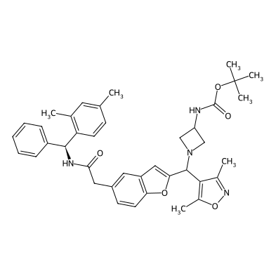 Cc1ccc([C@@H](NC(=O)Cc2ccc3oc(C(c4c(C)noc4C)N4CC(NC(=O)OC(C)(C)C)C4)cc3c2)c2ccccc2)c(C)c1